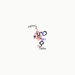 CCCCCCCCCCCCOC[C@@]12O[C@@H](CN3CCCCC3)[C@@H](OC(=O)Nc3ccc(CC(=O)OC)cc3)[C@@H]1OC(C)(C)O2